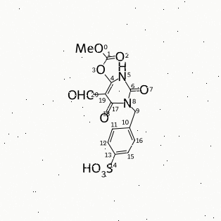 COC(=O)Oc1[nH]c(=O)n(Cc2ccc(S(=O)(=O)O)cc2)c(=O)c1C=O